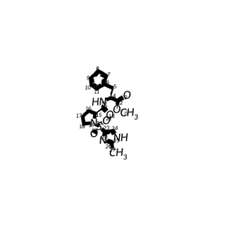 COC(=O)[C@H](Cc1ccccc1)NC(=O)[C@@H]1CCCN1S(=O)(=O)c1c[nH]c(C)n1